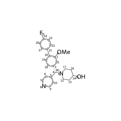 COc1cc([C@@H](c2ccncc2)N2CCC(O)CC2)ccc1-c1ccc(F)cc1